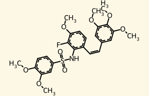 COc1ccc(S(=O)(=O)Nc2c(/C=C\c3cc(OC)c(OC)c(OC)c3)ccc(OC)c2F)cc1OC